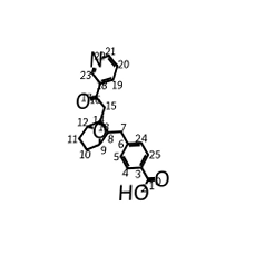 O=C(O)c1ccc(CC2C3CCC(O3)C2CC(=O)c2cccnc2)cc1